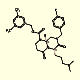 CN(C)CCC[C@H]1C(=O)N(Cc2ccc(F)cc2)C[C@@H]2N(C(=O)OCc3cc(C(F)(F)F)cc(C(F)(F)F)c3)CCC(=O)N21